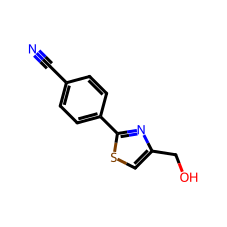 N#Cc1ccc(-c2nc(CO)cs2)cc1